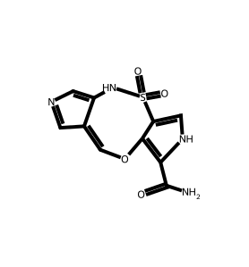 NC(=O)c1[nH]cc2c1OC=C1C=NC=C1NS2(=O)=O